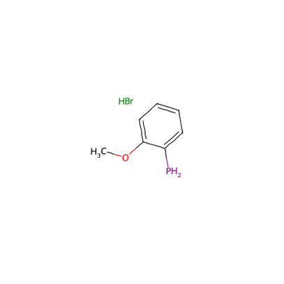 Br.COc1ccccc1P